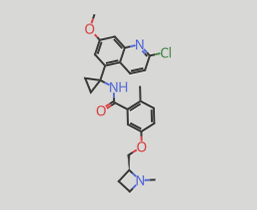 COc1cc(C2(NC(=O)c3cc(OC[C@@H]4CCN4C)ccc3C)CC2)c2ccc(Cl)nc2c1